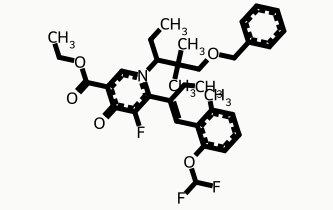 CCOC(=O)c1cn(C(CC)C(C)(C)COCc2ccccc2)c(/C(=C/c2c(C)cccc2OC(F)F)CC)c(F)c1=O